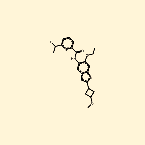 CCOc1cc2nc(C3CC(OC)C3)cn2cc1NC(=O)c1cccc(C(F)F)n1